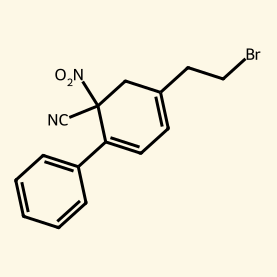 N#CC1([N+](=O)[O-])CC(CCBr)=CC=C1c1ccccc1